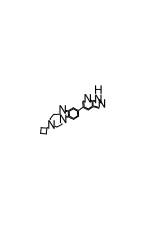 c1cc2c(cc1-c1cnc3[nH]ncc3c1)nc1n2CCN(C2CCC2)CC1